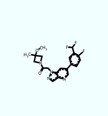 COC1(C)CN(C(=O)Cn2ncc3ncc(-c4ccc(F)c(C(F)F)c4)cc32)C1